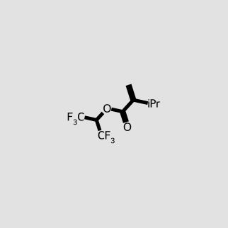 C=C(C(=O)OC(C(F)(F)F)C(F)(F)F)C(C)C